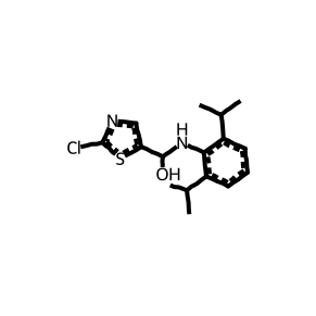 CC(C)c1cccc(C(C)C)c1NC(O)c1cnc(Cl)s1